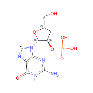 Nc1nc2c(ncn2[C@@H]2O[C@H](CO)C[C@H]2OP(=O)(O)O)c(=O)[nH]1